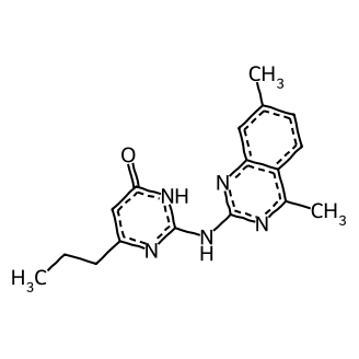 CCCc1cc(=O)[nH]c(Nc2nc(C)c3ccc(C)cc3n2)n1